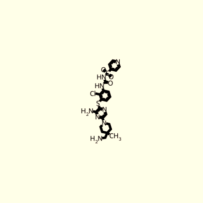 CC1(CN)CCN(c2cnc(Sc3cccc(NC(=O)NS(=O)(=O)c4ccncc4)c3Cl)c(N)n2)CC1